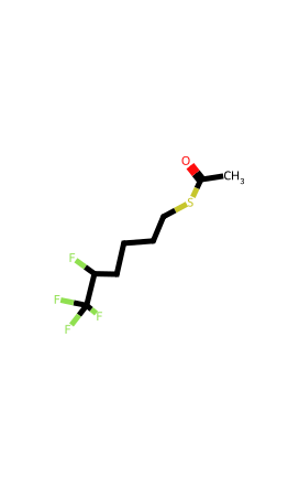 CC(=O)SCCCCC(F)C(F)(F)F